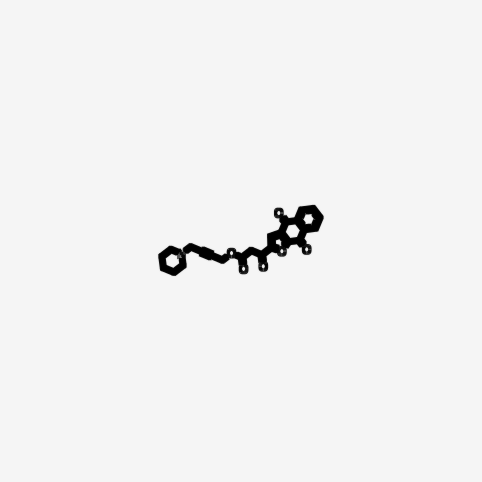 O=C(CC(=O)c1cc2c(o1)C(=O)c1ccccc1C2=O)OCC#CCN1CCCCC1